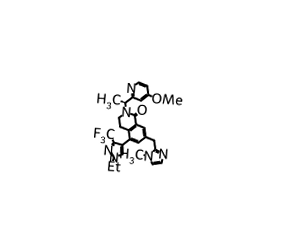 CCn1cc(-c2cc(Cc3nccn3C)cc3c2CCN([C@@H](C)c2cc(OC)ccn2)C3=O)c(C(F)(F)F)n1